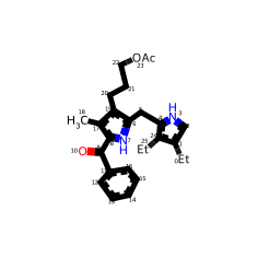 CCc1c[nH]c(Cc2[nH]c(C(=O)c3ccccc3)c(C)c2CCCOC(C)=O)c1CC